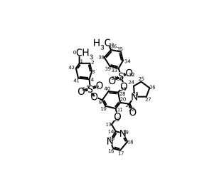 Cc1ccc(S(=O)(=O)Oc2cc(OCc3ncccn3)c(C(=O)N3CCCC3)c(OS(=O)(=O)c3ccc(C)cc3)c2)cc1